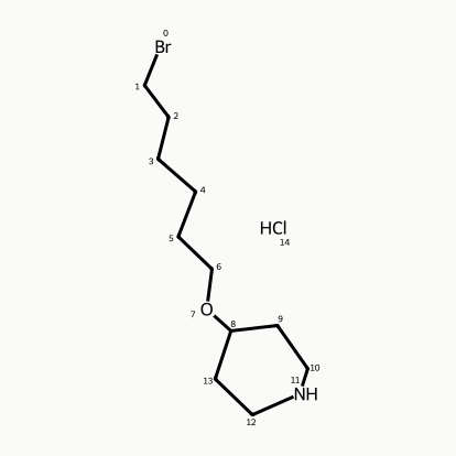 BrCCCCCCOC1CCNCC1.Cl